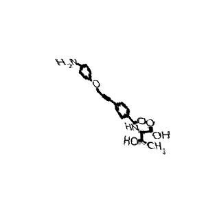 C[C@@H](O)[C@H](NC(=O)c1ccc(C#CCOc2ccc(N)cc2)cc1)C(=O)O